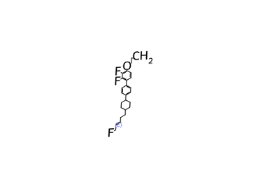 C=CCOc1ccc(-c2ccc(C3CCC(CC/C=C/CF)CC3)cc2)c(F)c1F